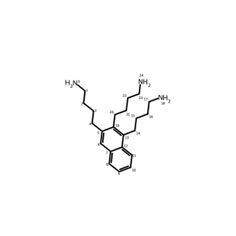 NCCCCc1cc2ccccc2c(CCCCN)c1CCCCN